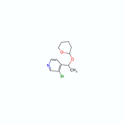 CC(OC1CCCCO1)c1ccncc1Br